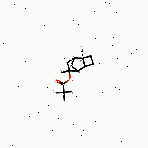 CCC(C)(C)C(=O)OC1(C)CC2CC1C1CC[C@H]21